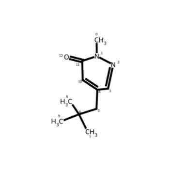 Cn1ncc(CC(C)(C)C)cc1=O